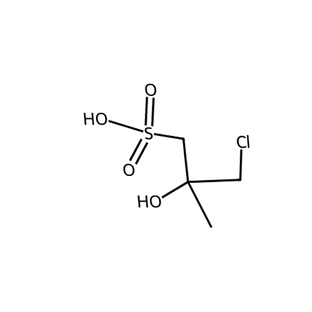 CC(O)(CCl)CS(=O)(=O)O